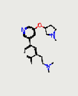 C=C(C)/C(=C\C(=C/C)c1cncc(OC2CCN(C)C2)c1)CCN(C)C